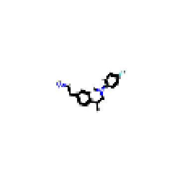 CC(CN(C)c1ccc(F)cc1)c1ccc(CCN)cc1